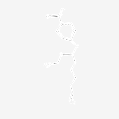 C=CCCCCP(OCC)Oc1ccc([N+](=O)[O-])cc1